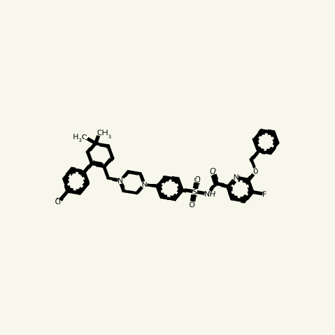 CC1(C)CCC(CN2CCN(c3ccc(S(=O)(=O)NC(=O)c4ccc(F)c(OCc5ccccc5)n4)cc3)CC2)=C(c2ccc(Cl)cc2)C1